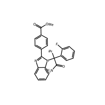 COC(=O)c1ccc(-c2nc3ccccc3n2C(C(N)=O)(c2ccccc2F)C(C)C)cc1